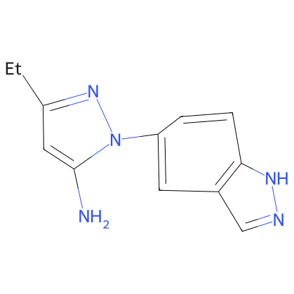 CCc1cc(N)n(-c2ccc3[nH]ncc3c2)n1